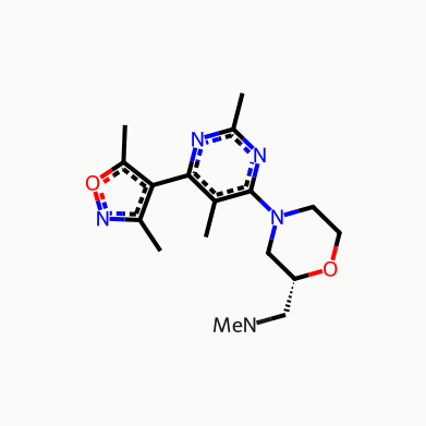 CNC[C@@H]1CN(c2nc(C)nc(-c3c(C)noc3C)c2C)CCO1